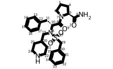 NC(=O)[C@@H]1CCCN1C(=O)[C@@H](Cc1ccccc1)N(CC1CCNCC1)S(=O)(=O)Cc1ccccc1